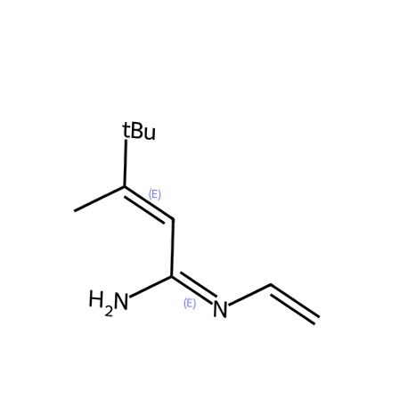 C=C/N=C(N)\C=C(/C)C(C)(C)C